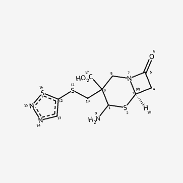 NC1S[C@@H]2CC(=O)N2CC1(CSc1cnns1)C(=O)O